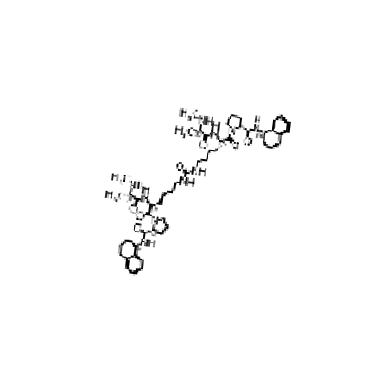 CN[C@@H](C)C(=O)N[C@@H](CCCCNC(=O)NCCCC[C@H](NC(=O)[C@@H](C)NC)C(=O)N1CCC[C@H]1C(=O)N[C@@H]1CCCc2ccccc21)C(=O)N1CCC[C@H]1C(=O)N[C@@H]1CCCc2ccccc21